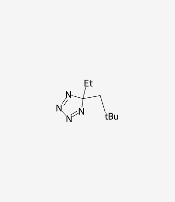 CCC1(CC(C)(C)C)N=NN=N1